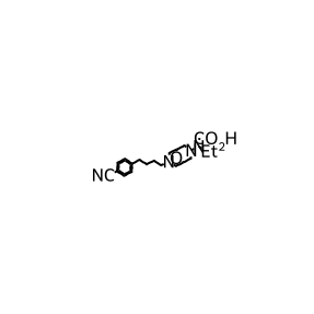 CCN(C(=O)O)N1CC2CN(CCCCc3ccc(C#N)cc3)CC(C1)O2